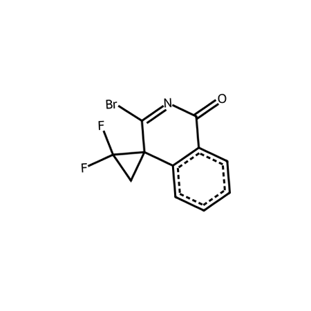 O=C1N=C(Br)C2(CC2(F)F)c2ccccc21